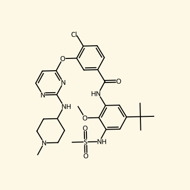 COc1c(NC(=O)c2ccc(Cl)c(Oc3ccnc(NC4CCN(C)CC4)n3)c2)cc(C(C)(C)C)cc1NS(C)(=O)=O